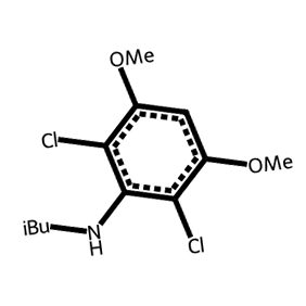 CCC(C)Nc1c(Cl)c(OC)cc(OC)c1Cl